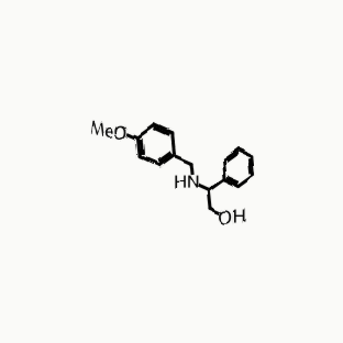 COc1ccc(CNC(CO)c2ccccc2)cc1